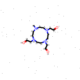 CN1CCN(CC=O)CCN(CC=O)CCN(CC=O)CC1